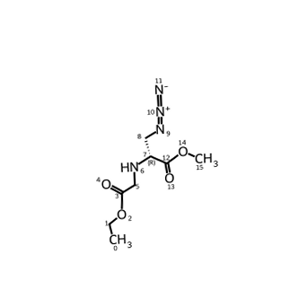 CCOC(=O)CN[C@H](CN=[N+]=[N-])C(=O)OC